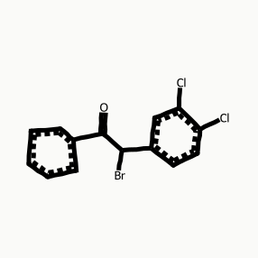 O=C(c1ccccc1)C(Br)c1ccc(Cl)c(Cl)c1